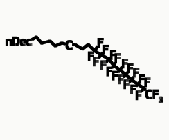 CCCCCCCCCCCCCCCCCCCC(F)(F)C(F)(F)C(F)(F)C(F)(F)C(F)(F)C(F)(F)C(F)(F)C(F)(F)C(F)(F)C(F)(F)F